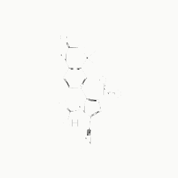 CC1(C)OC(=O)Nc2ccc(-c3c([N+](=O)[O-])cc(C#N)n3C(=O)O)cc21